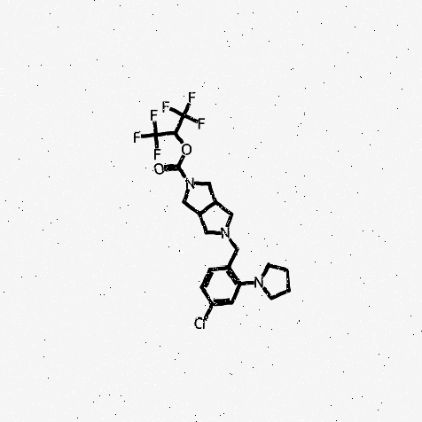 O=C(OC(C(F)(F)F)C(F)(F)F)N1CC2CN(Cc3ccc(Cl)cc3N3CCCC3)CC2C1